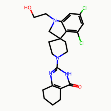 O=c1[nH]c(N2CCC3(CC2)CN(CCO)c2cc(Cl)cc(Cl)c23)nc2c1CCCC2